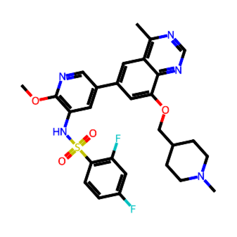 COc1ncc(-c2cc(OCC3CCN(C)CC3)c3ncnc(C)c3c2)cc1NS(=O)(=O)c1ccc(F)cc1F